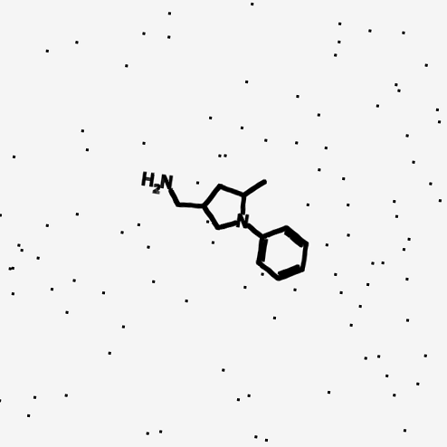 CC1CC(CN)CN1c1ccccc1